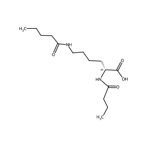 CCCCC(=O)NCCCC[C@@H](NC(=O)CCC)C(=O)O